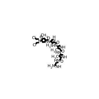 COc1cc(C(=O)Nc2c[nH]c(C(=O)Nc3c[nH]c(C(=O)Nc4c[nH]c(C(=O)NCCC(=N)N)c4C)c3C)c2C)ccc1N(CCCl)CCCl